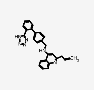 C=CCc1cc(NCc2ccc(-c3ccccc3-c3nnn[nH]3)cc2)c2ccccc2n1